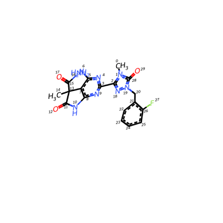 Cn1c(-c2nc(N)c3c(n2)NC(=O)C3(C)C(N)=O)nn(Cc2ccccc2F)c1=O